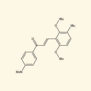 CNc1ccc(C(=O)C=Cc2c(OC(C)(C)C)ccc(C(C)(C)C)c2OC(C)(C)C)cc1